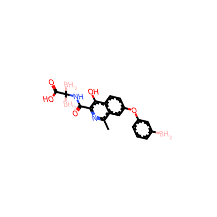 Bc1cccc(Oc2ccc3c(O)c(C(=O)NC(B)(B)C(=O)O)nc(C)c3c2)c1